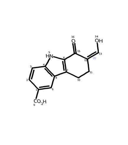 O=C(O)c1ccc2[nH]c3c(c2c1)CC/C(=C/O)C3=O